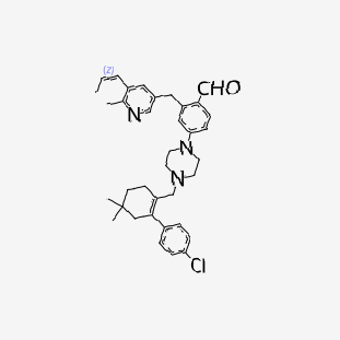 C/C=C\c1cc(Cc2cc(N3CCN(CC4=C(c5ccc(Cl)cc5)CC(C)(C)CC4)CC3)ccc2C=O)cnc1C